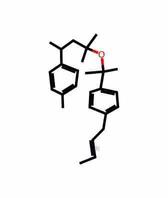 C/C=C/Cc1ccc(C(C)(C)OC(C)(C)CC(C)c2ccc(C)cc2)cc1